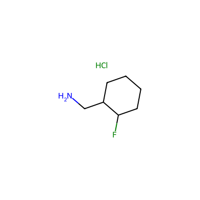 Cl.NCC1CCCCC1F